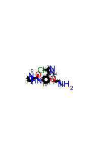 Cn1cccc1C(=O)Nc1ccc(OCCN)c(-c2c(Cl)cnn2C)c1